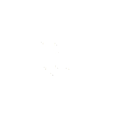 N#CC(=CCc1c[nH]c2ncc(-c3ccccn3)nc12)C(N)=O